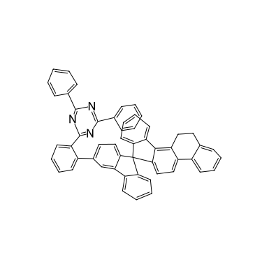 c1ccc(-c2nc(-c3ccccc3)nc(-c3ccccc3-c3ccc4c(c3)-c3ccccc3C43c4ccccc4-c4c3ccc3c4CCc4ccccc4-3)n2)cc1